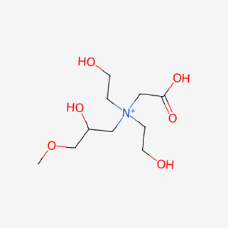 COCC(O)C[N+](CCO)(CCO)CC(=O)O